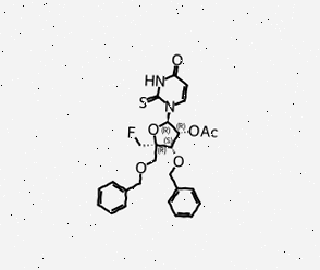 CC(=O)O[C@H]1[C@H](n2ccc(=O)[nH]c2=S)O[C@](CF)(COCc2ccccc2)[C@H]1OCc1ccccc1